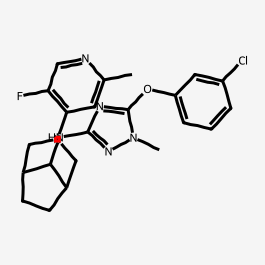 Cc1cc(N2CC3CCC(C2)C3Nc2nc(Oc3cccc(Cl)c3)n(C)n2)c(F)cn1